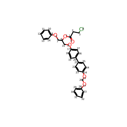 O=C(CCCl)OC(COc1ccccc1)COc1ccc(-c2ccc(OCOc3ccccc3)cc2)cc1